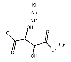 O=C([O-])C(O)C(O)C(=O)[O-].[Cu].[KH].[Na+].[Na+]